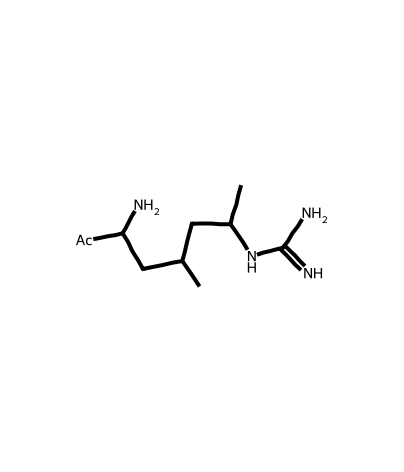 CC(=O)C(N)CC(C)CC(C)NC(=N)N